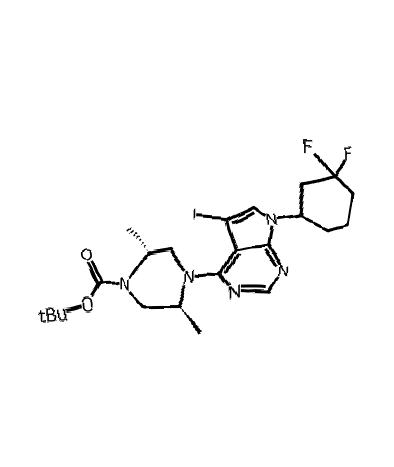 C[C@@H]1CN(c2ncnc3c2c(I)cn3C2CCCC(F)(F)C2)[C@@H](C)CN1C(=O)OC(C)(C)C